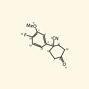 COc1cc(C2(C#N)CCC(=O)CC2)ccc1F